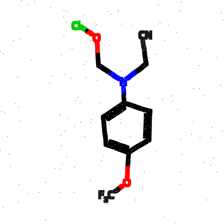 N#CCN(COCl)c1ccc(OC(F)(F)F)cc1